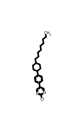 CCCCCCCCCC1CCC(c2ccc(-c3cnc(Cl)nc3)cc2)CC1